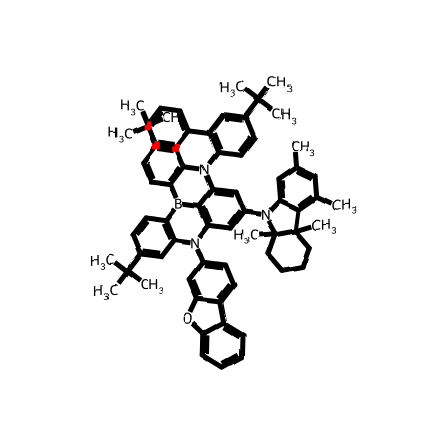 Cc1cc(C)c2c(c1)N(c1cc3c4c(c1)N(c1ccc(C(C)(C)C)cc1-c1ccccc1)c1cc(C(C)(C)C)ccc1B4c1ccc(C(C)(C)C)cc1N3c1ccc3c(c1)oc1ccccc13)C1(C)CCCCC21C